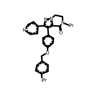 CC(C)c1ccc(COc2ccc(-c3c(-c4ccncc4)nn4c3C(=O)N(C(C)C)CC4)cc2)cc1